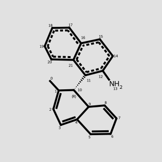 CC1=CC=C2C=CC=CC2[C@H]1c1c(N)ccc2ccccc12